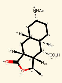 CC(=O)N[C@@H]1CC[C@@H]2[C@@H](C1)C[C@H]1C(=O)O[C@H](C)[C@H]1[C@H]2C(=O)O